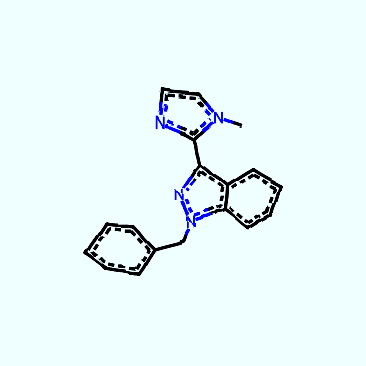 Cn1ccnc1-c1nn(Cc2ccccc2)c2ccccc12